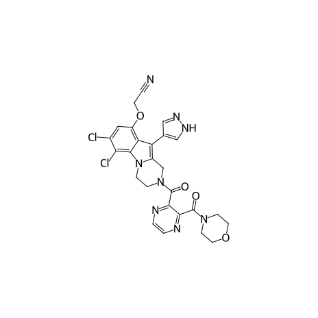 N#CCOc1cc(Cl)c(Cl)c2c1c(-c1cn[nH]c1)c1n2CCN(C(=O)c2nccnc2C(=O)N2CCOCC2)C1